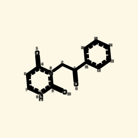 O=C(Cn1c(=O)cc[nH]c1=O)c1ccccc1